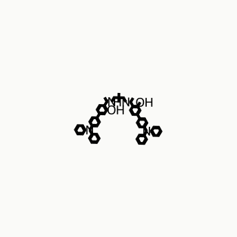 C/C(=N\CC(C)(C)CNC(C)c1ccc(-c2ccc(N(c3ccccc3)c3ccccc3)cc2)cc1O)c1ccc(-c2ccc(N(c3ccccc3)c3ccccc3)cc2)cc1O